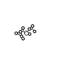 C1=C(n2c3ccccc3c3cc4c5ccccc5n5c6cc7ccccc7cc6c(c32)c45)\N=C(\c2ccc3c4ccccc4n(-c4ccccc4)c3c2)c2ccccc2CC/1